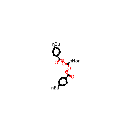 [CH2]CCCCCCCC[C](OOC(=O)c1ccc(CCCC)cc1)OOC(=O)c1ccc(CCCC)cc1